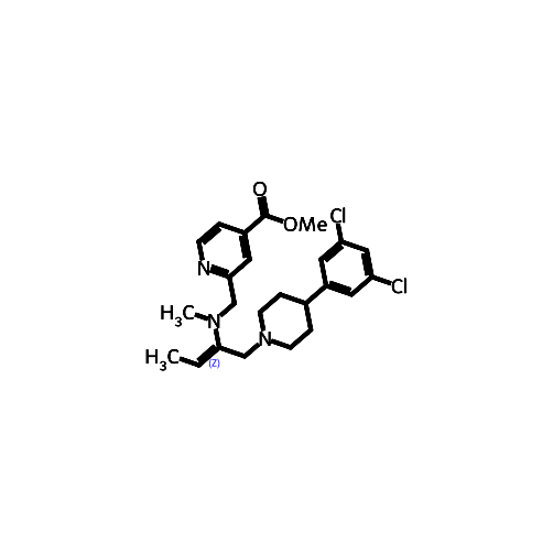 C/C=C(/CN1CCC(c2cc(Cl)cc(Cl)c2)CC1)N(C)Cc1cc(C(=O)OC)ccn1